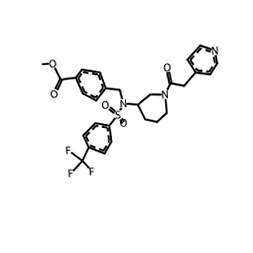 COC(=O)c1ccc(CN(C2CCCN(C(=O)Cc3ccncc3)C2)S(=O)(=O)c2ccc(C(F)(F)F)cc2)cc1